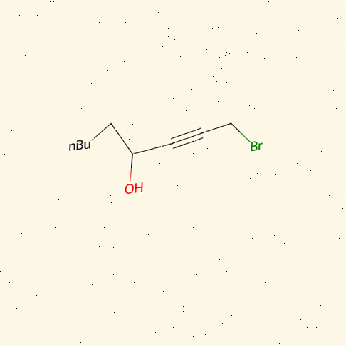 CCCCCC(O)C#CCBr